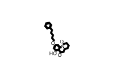 O=C1CC2CCCC(=O)N2c2cc(OCCCCCc3ccccc3)cc(O)c21